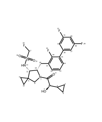 O=C([C@H](O)C1CC1)N1CC2(CC2)[C@H](NS(=O)(=O)CF)[C@@H]1Cc1cccc(-c2cc(F)cc(F)c2)c1F